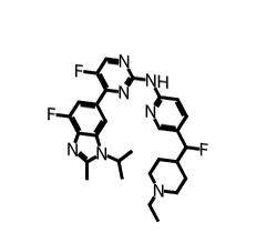 CCN1CCC(C(F)c2ccc(Nc3ncc(F)c(-c4cc(F)c5nc(C)n(C(C)C)c5c4)n3)nc2)CC1